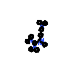 c1ccc(-c2nc(-c3ccc(-c4ccc(-n5c6ccccc6c6ccccc65)cc4)cc3)cc(-c3cc(-n4c5ccccc5c5ccccc54)cc(-n4c5ccccc5c5ccccc54)c3)n2)cc1